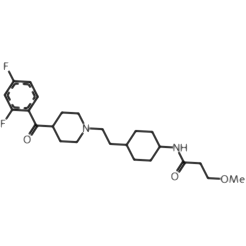 COCCC(=O)NC1CCC(CCN2CCC(C(=O)c3ccc(F)cc3F)CC2)CC1